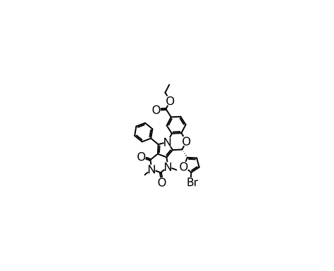 CCOC(=O)c1ccc2c(c1)-n1c(-c3ccccc3)c3c(=O)n(C)c(=O)n(C)c3c1[C@@H](c1ccc(Br)o1)O2